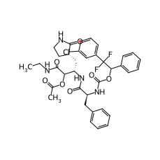 CCNC(=O)C(OC(C)=O)[C@H](C[C@@H]1CCNC1=O)NC(=O)[C@H](Cc1ccccc1)NC(=O)OC(c1ccccc1)C(F)(F)c1cccc(Cl)c1